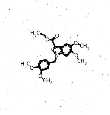 CCOC(=O)c1nn(Cc2ccc(OC)c(OC)c2)c2cc(OC)c(OC)cc12